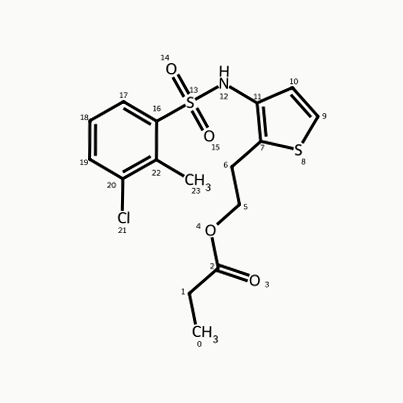 CCC(=O)OCCc1sccc1NS(=O)(=O)c1cccc(Cl)c1C